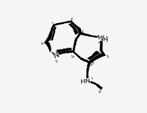 CNc1c[nH]c2cccnc12